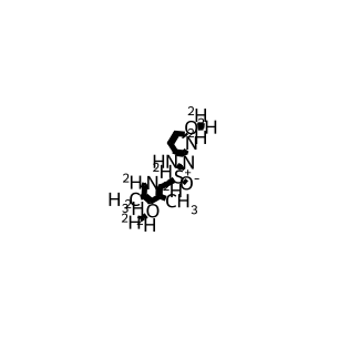 [2H]c1nc(C([2H])([2H])[S+]([O-])c2nc3nc(OC([2H])([2H])[2H])ccc3[nH]2)c(C)c(OC([2H])([2H])[2H])c1C